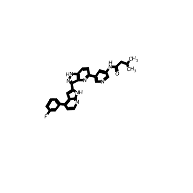 CC(C)CC(=O)Nc1cncc(-c2ccc3[nH]nc(-c4cc5c(-c6cccc(F)c6)ccnc5[nH]4)c3n2)c1